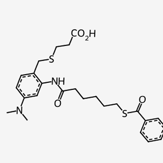 CN(C)c1ccc(CSCCC(=O)O)c(NC(=O)CCCCCSC(=O)c2ccccc2)c1